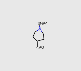 CC(=O)NN1CCC(C=O)CC1